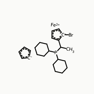 CC(c1ccc[c-]1Br)P(C1CCCCC1)C1CCCCC1.[Fe+2].c1cc[cH-]c1